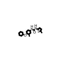 Cc1ccc(NC(=O)Nc2ccc(Oc3ccccc3)c(C)c2)s1